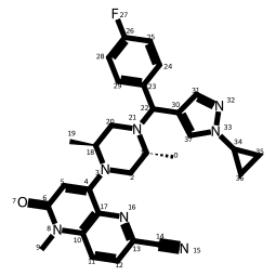 C[C@@H]1CN(c2cc(=O)n(C)c3ccc(C#N)nc23)[C@@H](C)CN1C(c1ccc(F)cc1)c1cnn(C2CC2)c1